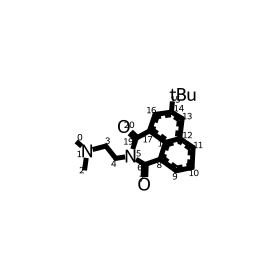 CN(C)CCN1C(=O)c2cccc3cc(C(C)(C)C)cc(c23)C1=O